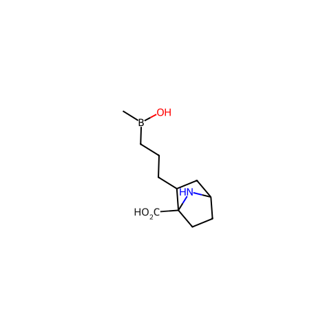 CB(O)CCCC1CC2CCC1(C(=O)O)N2